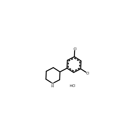 Cl.Clc1cc(Cl)cc(C2CCCNC2)c1